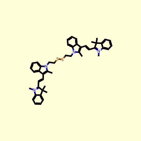 Cc1c(/C=C/C2=[N+](C)c3ccccc3C2(C)C)c2ccccc2n1CCSSCCn1c(C)c(/C=C/C2=[N+](C)c3ccccc3C2(C)C)c2ccccc21